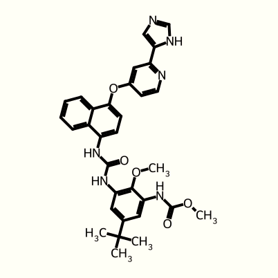 COC(=O)Nc1cc(C(C)(C)C)cc(NC(=O)Nc2ccc(Oc3ccnc(-c4cnc[nH]4)c3)c3ccccc23)c1OC